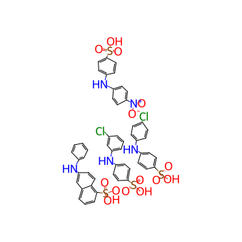 O=S(=O)(O)c1ccc(Nc2ccc(Cl)cc2)cc1.O=S(=O)(O)c1ccc(Nc2cccc(Cl)c2)cc1.O=S(=O)(O)c1cccc2cc(Nc3ccccc3)ccc12.O=[N+]([O-])c1ccc(Nc2ccc(S(=O)(=O)O)cc2)cc1